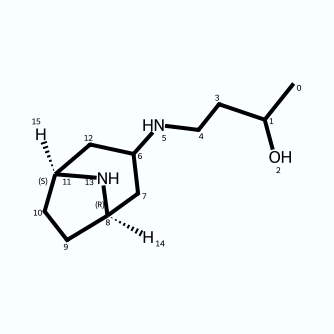 CC(O)CCNC1C[C@H]2CC[C@@H](C1)N2